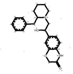 O=C1COc2cc(C(O)CN3CCCCC3Cc3ccccc3)ccc2N1